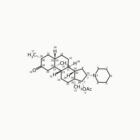 CC(=O)O[C@H]1[C@@H](N2CCCCC2)C[C@H]2[C@@H]3CC[C@H]4C[C@@H](C)C(=O)C[C@]4(C)[C@H]3CC[C@@]21C